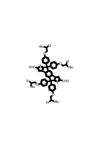 CCCCC(CC)COc1ccc(C2(c3ccc(OCC(CC)CCCC)cc3)c3cc4c(cc3-c3cc(C=O)sc32)C(c2ccc(OCC(CC)CCCC)cc2)(c2ccc(OCC(CC)CCCC)cc2)c2sc(C=O)cc2-4)cc1